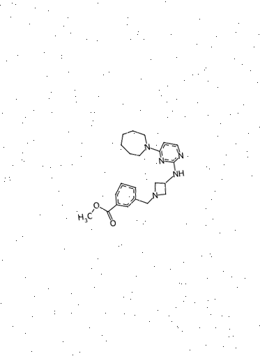 COC(=O)c1cccc(CN2CC(Nc3nccc(N4CCCCCC4)n3)C2)c1